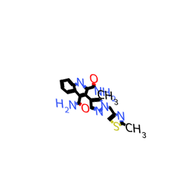 Cc1nc(Cn2ncc(-c3c(C(N)=O)nc4ccccc4c3C(N)=O)c2C)cs1